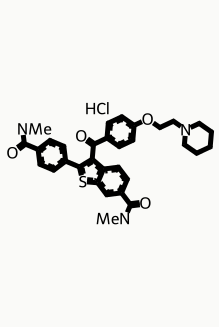 CNC(=O)c1ccc(-c2sc3cc(C(=O)NC)ccc3c2C(=O)c2ccc(OCCN3CCCCC3)cc2)cc1.Cl